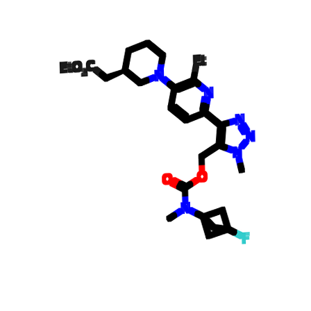 CCOC(=O)C[C@H]1CCCN(c2ccc(-c3nnn(C)c3COC(=O)N(C)C34CC(F)(C3)C4)nc2CC)C1